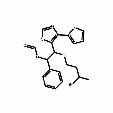 CC(Br)CCOC(c1scnc1-c1cccs1)C(OC=O)c1ccccc1